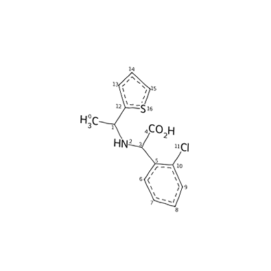 CC(NC(C(=O)O)c1ccccc1Cl)c1cccs1